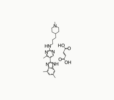 Cc1cc(C)c2nc(-c3cnc(NCCCC4CCN(C)CC4)nc3C)[nH]c2c1.O=C(O)C=CC(=O)O